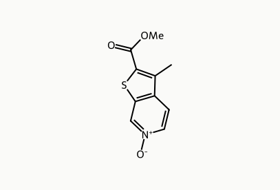 COC(=O)c1sc2c[n+]([O-])ccc2c1C